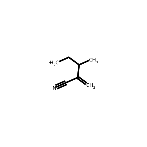 [CH2]CC(C)C(=C)C#N